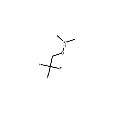 C[SiH](C)OCC(F)(F)F